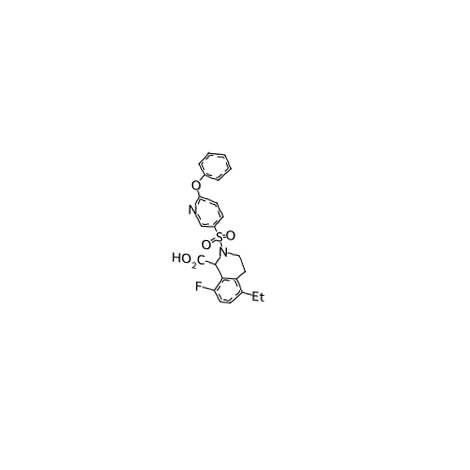 CCc1ccc(F)c2c1CCN(S(=O)(=O)c1ccc(Oc3ccccc3)nc1)C2C(=O)O